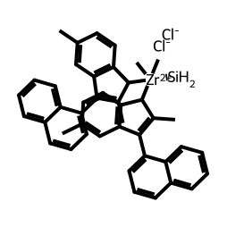 CC1=C(c2cccc3ccccc23)c2cc(C)ccc2[CH]1[Zr+2]([CH3])([CH3])(=[SiH2])[CH]1C(C)=C(c2cccc3ccccc23)c2cc(C)ccc21.[Cl-].[Cl-]